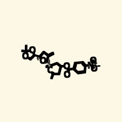 C=C=C(C)CC(CC[C@@H]1O[C@@H](C2COC(C)(C)O2)CC1=C)OC(=O)c1ccc([N+](=O)[O-])cc1